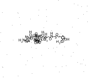 COc1cc(/C=C/C(=O)SCCNC(=O)CCNC(=O)[C@H](O)C(C)(C)COP(=O)(O)OP(=O)(O)OC[C@H]2O[C@@H](n3cnc4c(N)ncnc43)[C@H](O)[C@@H]2OP(=O)(O)O)ccc1O